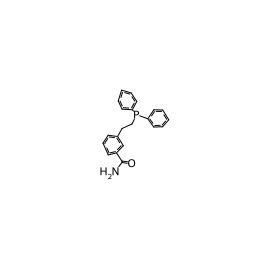 NC(=O)c1cccc(CCP(c2ccccc2)c2ccccc2)c1